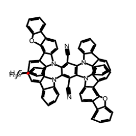 Cc1ccc2c(c1)c1ccccc1n2-c1c(C#N)c(-n2c3ccccc3c3c4oc5ccccc5c4ccc32)c(-n2c3ccccc3c3ccccc32)c(C#N)c1-n1c2ccc(C)cc2c2c3oc4ccccc4c3ccc21